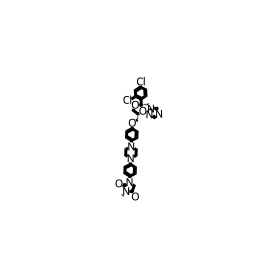 CN1C(=O)CN(c2ccc(N3CCN(c4ccc(OC[C@@H]5CO[C@@](Cn6cncn6)(c6ccc(Cl)cc6Cl)O5)cc4)CC3)cc2)C1=O